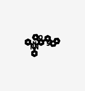 c1ccc(-c2nc(-c3ccccc3)nc(-c3ccc(-c4cccc5c4sc4ccc6ccccc6c45)c4oc5ccccc5c34)n2)cc1